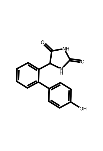 O=C1NC(=O)C(c2ccccc2-c2ccc(O)cc2)N1